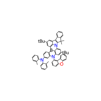 Cc1ccccc1N(c1ccc2c(c1)N(c1cccc3oc4ccccc4c13)c1cc(C(C)(C)C)cc3c1B2c1cc(C(C)(C)C)cc2c4c(n-3c12)C(C)(C)c1ccccc1-4)c1ccccc1C